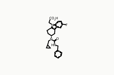 O=C(O)Cn1c2c(c3cc(F)ccc31)C[C@@H](N(CC1CC1)C(=O)NCc1ccccc1)CC2